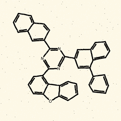 c1ccc(-c2cc(-c3nc(-c4ccc5ccccc5c4)nc(-c4cccc5oc6ccccc6c45)n3)cc3ccccc23)cc1